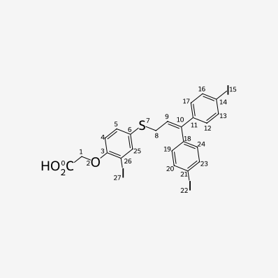 O=C(O)COc1ccc(SCC=C(c2ccc(I)cc2)c2ccc(I)cc2)cc1I